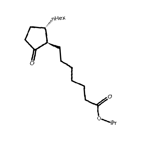 CCCCCC[C@H]1CCC(=O)[C@@H]1CCCCCCC(=O)OC(C)C